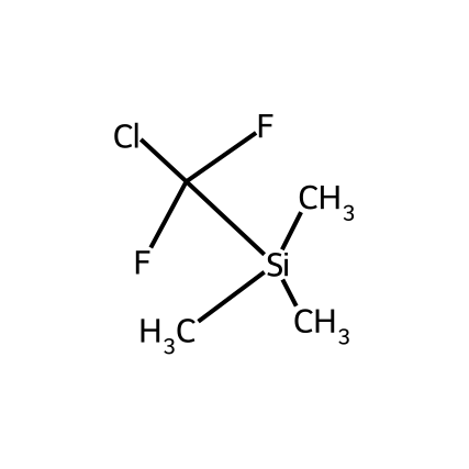 C[Si](C)(C)C(F)(F)Cl